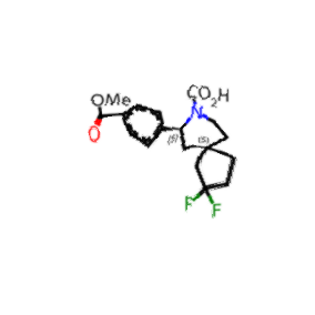 COC(=O)c1ccc([C@@H]2C[C@@]3(CCN2C(=O)O)CCC(F)(F)C3)cc1